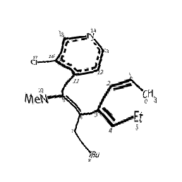 C\C=C/C(=C\CC)C(/CC(C)CC)=C(/NC)c1ccncc1Cl